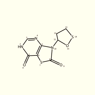 O=c1[nH]cnc2c1sc(=O)n2C1CCSO1